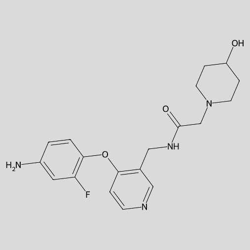 Nc1ccc(Oc2ccncc2CNC(=O)CN2CCC(O)CC2)c(F)c1